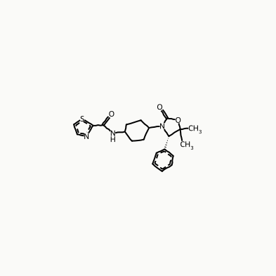 CC1(C)OC(=O)N(C2CCC(NC(=O)c3nccs3)CC2)[C@H]1c1ccccc1